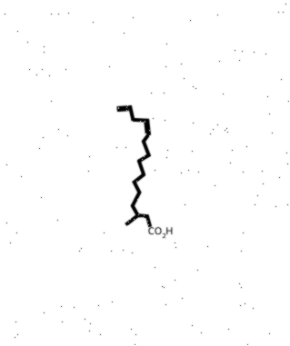 C=CC/C=C\CCCCCCCC(C)CC(=O)O